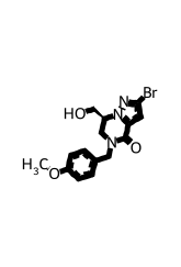 COc1ccc(CN2C[C@@H](CO)n3nc(Br)cc3C2=O)cc1